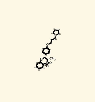 C[C@H]1[C@@H](c2ccc(OCCCN3CCCC3)cc2)Oc2ccccc2S1(=O)=O